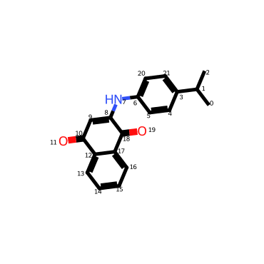 CC(C)c1ccc(NC2=CC(=O)c3ccccc3C2=O)cc1